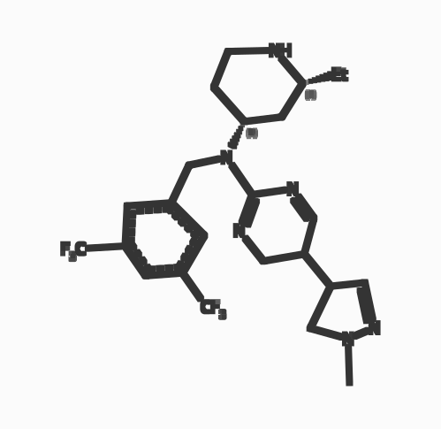 CC[C@@H]1C[C@H](N(Cc2cc(C(F)(F)F)cc(C(F)(F)F)c2)C2=NCC(C3C=NN(C)C3)C=N2)CCN1